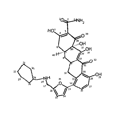 NC(=O)C1=C(O)C[C@@H]2CC3Cc4c(-c5ccc(CNC6CCCCC6)o5)ccc(O)c4C(=O)C3=C(O)[C@]2(O)C1=O